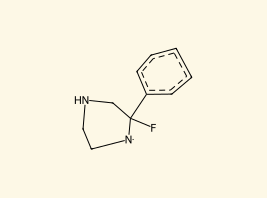 FC1(c2ccccc2)CNCC[N]1